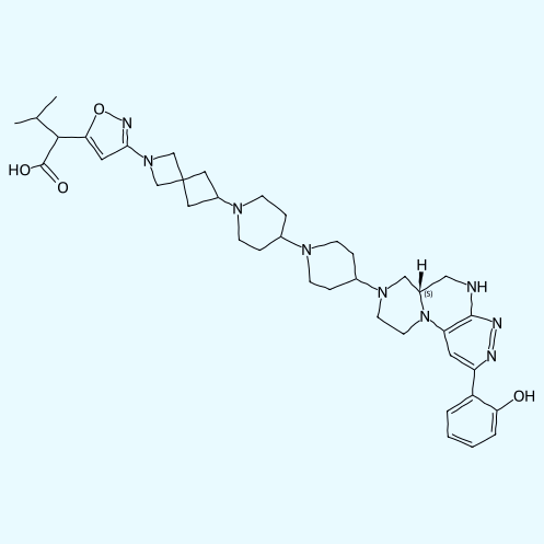 CC(C)C(C(=O)O)c1cc(N2CC3(CC(N4CCC(N5CCC(N6CCN7c8cc(-c9ccccc9O)nnc8NC[C@H]7C6)CC5)CC4)C3)C2)no1